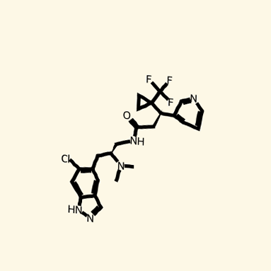 CN(C)[C@H](CNC(=O)C[C@H](c1cccnc1)C1(C(F)(F)F)CC1)Cc1cc2cn[nH]c2cc1Cl